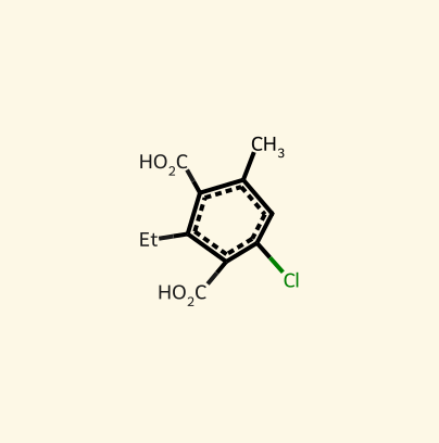 CCc1c(C(=O)O)c(C)cc(Cl)c1C(=O)O